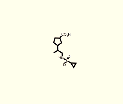 CC(CNS(=O)(=O)C1CC1)C1CCC(C(=O)O)C1